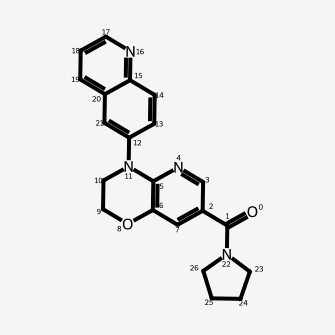 O=C(c1cnc2c(c1)OCCN2c1ccc2ncccc2c1)N1CCCC1